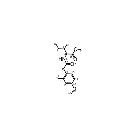 CCC(C)C(NC(=O)Cc1ccc(OC)cc1C)C(=O)OC